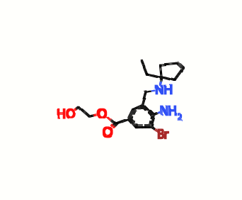 CCC1(NCc2cc(C(=O)OCCO)cc(Br)c2N)CCCC1